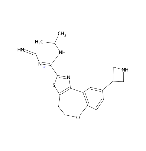 CC(C)N/C(=N\C=N)c1nc2c(s1)CCOc1ccc(C3CNC3)cc1-2